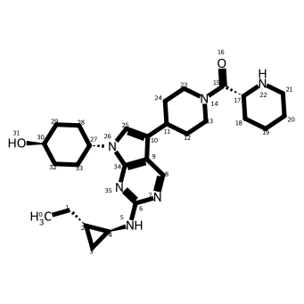 CC[C@H]1C[C@@H]1Nc1ncc2c(C3CCN(C(=O)[C@H]4CCCCN4)CC3)cn([C@H]3CC[C@H](O)CC3)c2n1